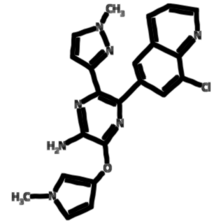 Cn1ccc(Oc2nc(-c3cc(Cl)c4ncccc4c3)c(-c3ccn(C)n3)nc2N)c1